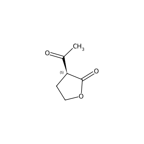 CC(=O)[C@@H]1CCOC1=O